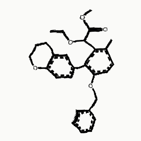 CCOC(C(=O)OC)c1c(C)ccc(OCc2ccccc2)c1-c1ccc2c(c1)CCCO2